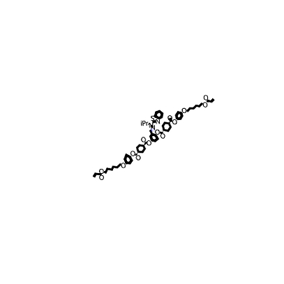 C=CC(=O)OCCCCCCOc1ccc(OC(=O)[C@H]2CC[C@H](C(=O)Oc3ccc(OC(=O)[C@H]4CC[C@H](C(=O)Oc5ccc(OCCCCCCOC(=O)C=C)cc5)CC4)c(/C=N/N(c4nc5ccccc5s4)C(C)C)c3)CC2)cc1